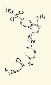 C=CC(=O)Nc1ccc(/N=N/c2ccc(N)c3cc(S(=O)(=O)O)ccc23)cc1